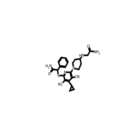 N#Cc1c(SC(C(N)=O)c2ccccc2)nc(N2CCC(NCC(N)=O)CC2)c(C#N)c1C1CC1